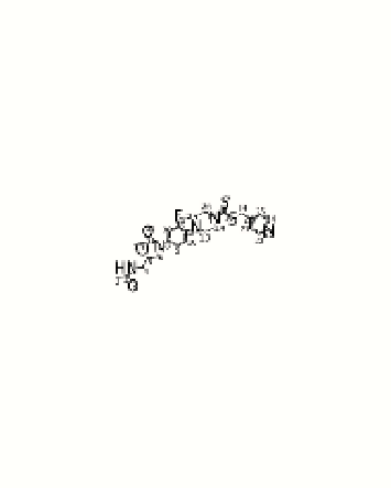 CC(=O)NCC1CN(c2ccc(N3CCN(C(=S)SCc4ccncc4)CC3)c(F)c2)C(=O)O1